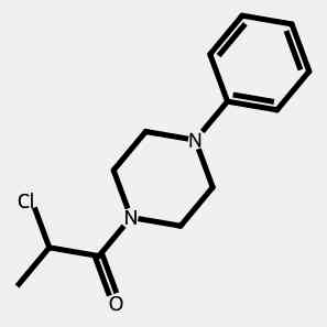 CC(Cl)C(=O)N1CCN(c2ccccc2)CC1